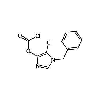 O=C(Cl)Oc1ncn(Cc2ccccc2)c1Cl